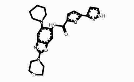 O=C(Nc1cc2oc(N3CCOCC3)nc2cc1N1CCCCC1)c1ccc(-c2cc[nH]n2)o1